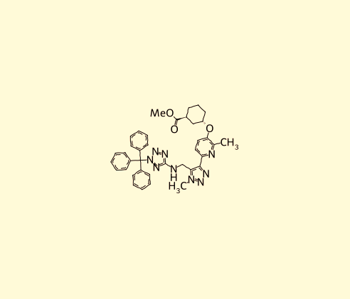 COC(=O)[C@H]1CCC[C@H](Oc2ccc(-c3nnn(C)c3CNc3nnn(C(c4ccccc4)(c4ccccc4)c4ccccc4)n3)nc2C)C1